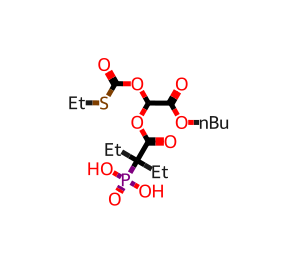 CCCCOC(=O)C(OC(=O)SCC)OC(=O)C(CC)(CC)P(=O)(O)O